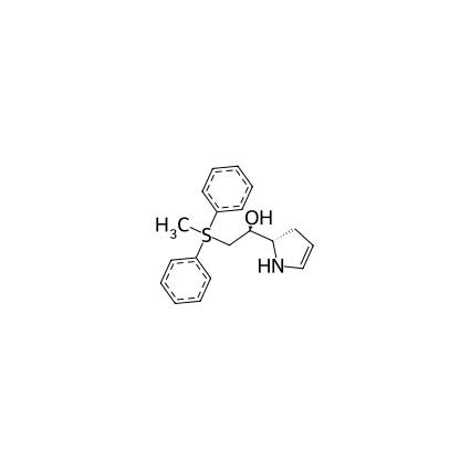 CS(C[C@@H](O)[C@@H]1CC=CN1)(c1ccccc1)c1ccccc1